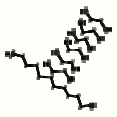 CCCCCCCCCCCS.OCCO.OCCO.OCCO.OCCO.OCCO.OCCO